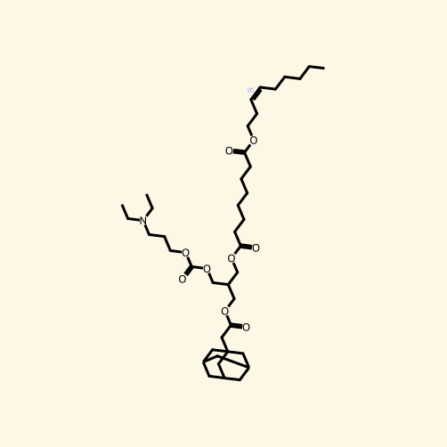 CCCCC/C=C\CCOC(=O)CCCCCCC(=O)OCC(COC(=O)CC12CC3CC(CC(C3)C1)C2)COC(=O)OCCCN(CC)CC